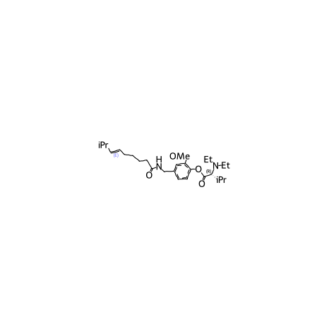 CCN(CC)[C@@H](C(=O)Oc1ccc(CNC(=O)CCCC/C=C/C(C)C)cc1OC)C(C)C